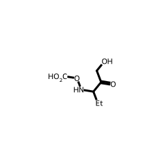 CCC(NOC(=O)O)C(=O)CO